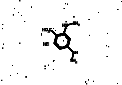 Cl.NNc1ccc(C(=O)O)c(NN)c1